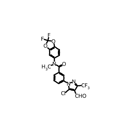 CN(C(=O)c1cccc(-n2nc(C(F)(F)F)c(C=O)c2Cl)c1)c1ccc2c(c1)OC(F)(F)O2